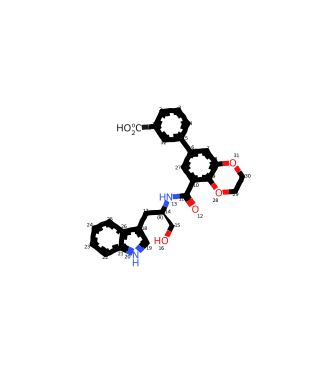 O=C(O)c1cccc(-c2cc3c(c(C(=O)N[C@@H](CO)Cc4c[nH]c5ccccc45)c2)OCCO3)c1